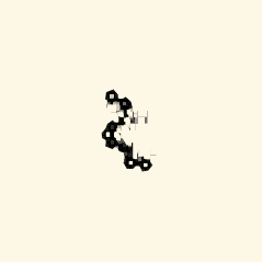 N=C(SC(=N)c1ccc2ccc3ccc(-c4nnc(-c5cccc(-c6ccccc6C(F)(F)F)n5)s4)nc3c2n1)c1cccc(-c2ccccc2C(F)(F)F)n1